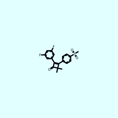 CC1(C)C(=O)C(c2cc(F)cc(F)c2)=C1c1ccc(S(C)(=O)=O)cc1